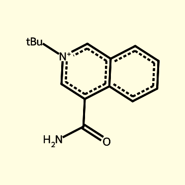 CC(C)(C)[n+]1cc(C(N)=O)c2ccccc2c1